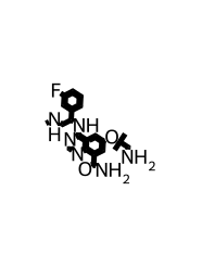 CNCC(Nc1ncnc2c(C(N)=O)cc(OC(C)(C)CN)cc12)c1cccc(F)c1